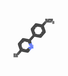 CCc1ccc(-c2ccc(NC(F)(F)F)cc2)nc1